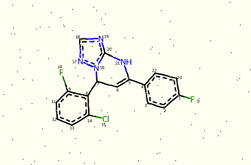 Fc1ccc(C2=CC(c3c(F)cccc3Cl)n3ncnc3N2)cc1